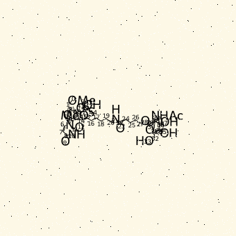 COC[C@H]1O[C@@H](n2ccc(=O)[nH]c2=O)C(CCCCCCCNC(=O)CCCCO[C@@H]2O[C@H](CO)[C@H](O)[C@H](O)[C@H]2NC(C)=O)[C@H]1OP(O)(=S)OC